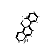 C1=Cc2c(ccc3c2COc2ccccc2-3)NC1